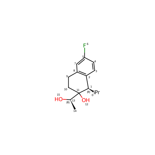 CC(C)[C@@H]1c2ccc(F)cc2CCC1(O)[C@@H](C)O